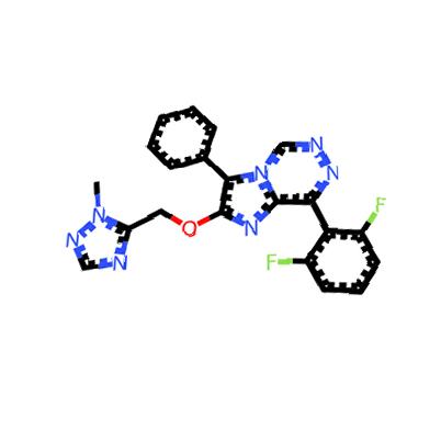 Cn1ncnc1COc1nc2c(-c3c(F)cccc3F)nncn2c1-c1ccccc1